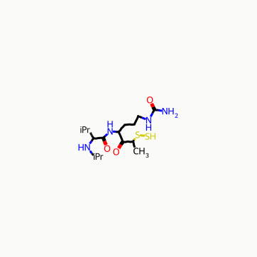 CC(C)NC(C(=O)NC(CCCNC(N)=O)C(=O)C(C)SS)C(C)C